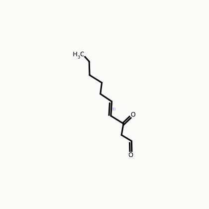 CCCCC/C=C/C(=O)CC=O